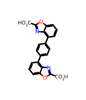 O=C(O)c1nc2c(-c3ccc(-c4cccc5oc(C(=O)O)nc45)cc3)cccc2o1